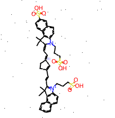 CC1(C)C(=C/C=C2/C=C(C=CC3=[N+](CCCS(=O)(=O)O)c4ccc5ccccc5c4C3(C)C)CC2)N(CCCS(=O)(=O)O)c2ccc3cc(S(=O)(=O)O)ccc3c21